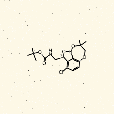 CC(C)(C)OC(=O)NC[C@H]1OB2OC(C)(C)COc3ccc(Cl)c1c32